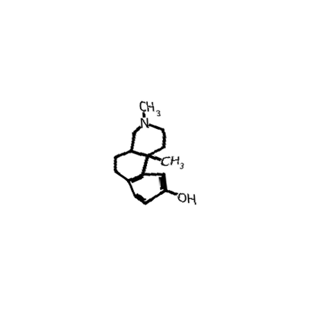 CN1CCC2(C)c3cc(O)ccc3CCC2C1